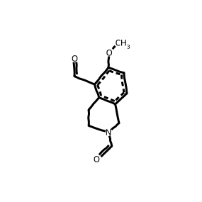 COc1ccc2c(c1C=O)CCN(C=O)C2